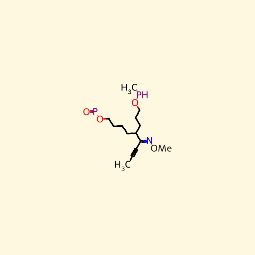 CC#C/C(=N\OC)C(CCCCOP=O)CCCOPC